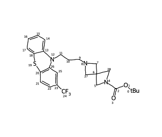 CC(C)(C)OC(=O)N1CC2(CN(CCCN3c4ccccc4Sc4ccc(C(F)(F)F)cc43)C2)C1